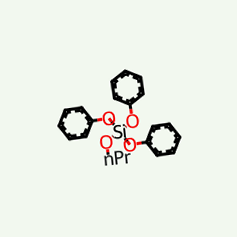 CCCO[Si](Oc1ccccc1)(Oc1ccccc1)Oc1ccccc1